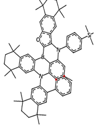 Cc1cc2c3c(c1)N(c1ccc([Si](C)(C)C)cc1)c1c(oc4cc5c(cc14)C(C)(C)CCC5(C)C)B3c1cc3c(cc1N2c1cc2c(cc1-c1ccccc1)C(C)(C)CCC2(C)C)C(C)(C)CCC3(C)C